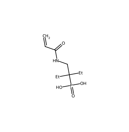 C=CC(=O)NCC(CC)(CC)P(=O)(O)O